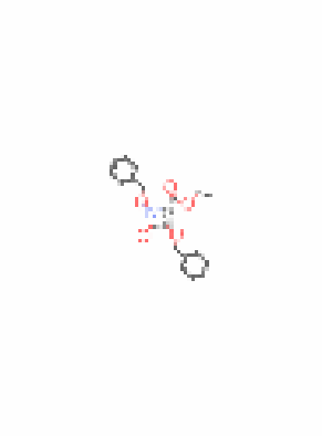 CCOC(=O)[C@@H]1[C@@H](OCc2ccccc2)C(=O)N1OCc1ccccc1